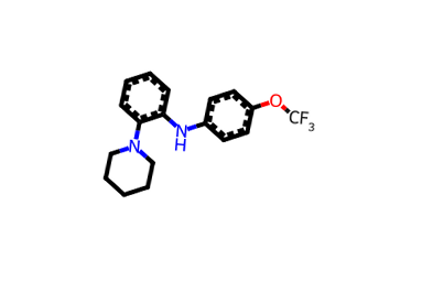 FC(F)(F)Oc1ccc(Nc2ccccc2N2CCCCC2)cc1